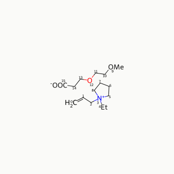 C=CC[N+]1(CC)CCCC1.COCCOCCC(=O)[O-]